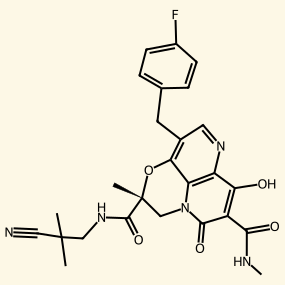 CNC(=O)c1c(O)c2ncc(Cc3ccc(F)cc3)c3c2n(c1=O)C[C@](C)(C(=O)NCC(C)(C)C#N)O3